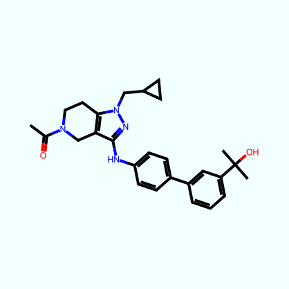 CC(=O)N1CCc2c(c(Nc3ccc(-c4cccc(C(C)(C)O)c4)cc3)nn2CC2CC2)C1